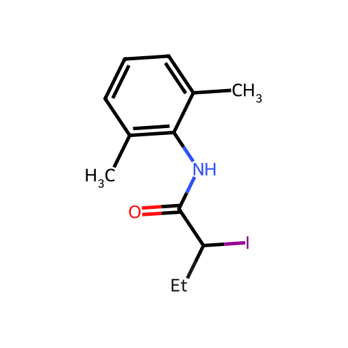 CCC(I)C(=O)Nc1c(C)cccc1C